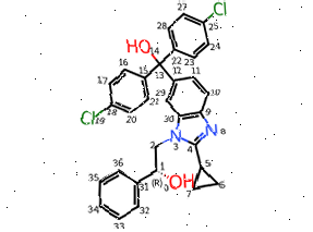 O[C@@H](Cn1c(C2CC2)nc2ccc(C(O)(c3ccc(Cl)cc3)c3ccc(Cl)cc3)cc21)c1ccccc1